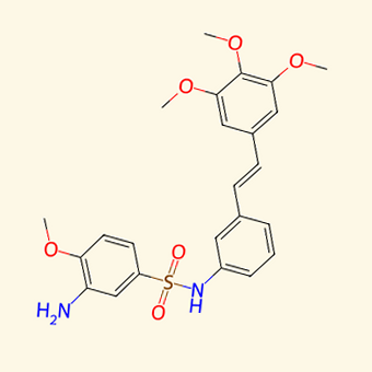 COc1ccc(S(=O)(=O)Nc2cccc(C=Cc3cc(OC)c(OC)c(OC)c3)c2)cc1N